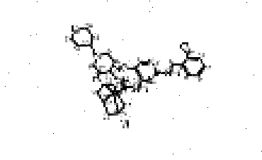 N#Cc1cnc(NCc2ccccc2Cl)nc1NC[C@]12CC3C[C@H](C1)[C@@H](NC1CCN(C4CCOCC4)CC1)[C@@H](C3)C2